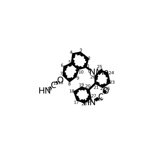 CNc1cccc2ccccc12.N=C=O.N=C=O.c1ccc(-c2ccccc2)cc1